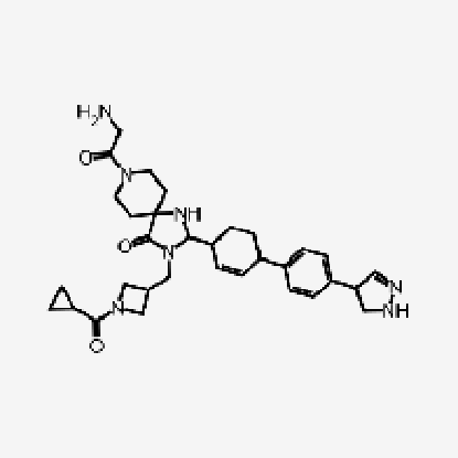 NCC(=O)N1CCC2(CC1)NC(C1C=CC(c3ccc(C4C=NNC4)cc3)CC1)N(CC1CN(C(=O)C3CC3)C1)C2=O